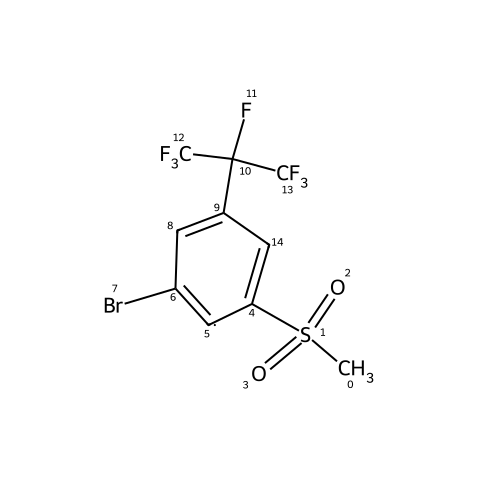 CS(=O)(=O)c1[c]c(Br)cc(C(F)(C(F)(F)F)C(F)(F)F)c1